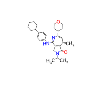 C=C1C=C(C2CCOCC2)N=C(Nc2ccc(C3CCCCC3)cc2)C2=C1C(=O)N(C(C)C)C2